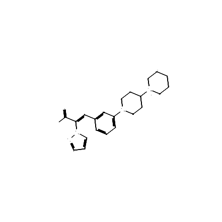 CC(C)(C)C(=O)/C(=C/c1cccc(N2CCC(N3CCCCC3)CC2)c1)n1cccn1